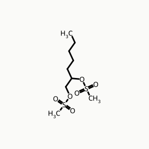 CCCCCC(COS(C)(=O)=O)OS(C)(=O)=O